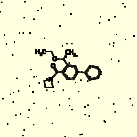 CCOC(C)c1cc(-c2ccccc2)ccc1C(=O)N1CCC1